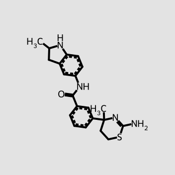 CC1Cc2cc(NC(=O)c3cccc(C4(C)CCSC(N)=N4)c3)ccc2N1